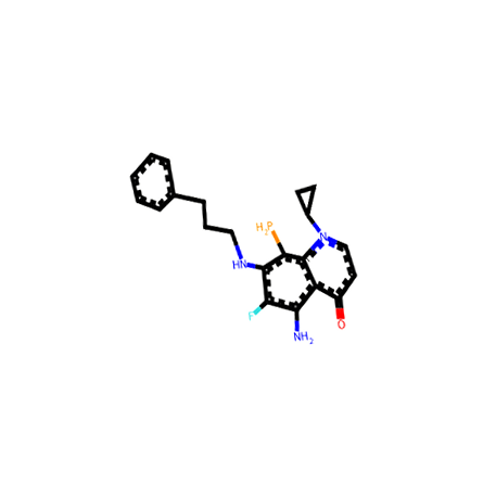 Nc1c(F)c(NCCCc2ccccc2)c(P)c2c1c(=O)ccn2C1CC1